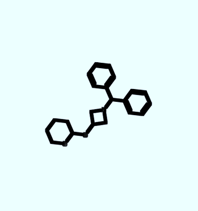 c1ccc(C(c2ccccc2)N2CC(OC3CCCCO3)C2)cc1